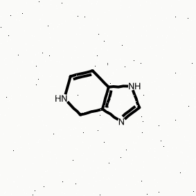 C1=Cc2[nH]cnc2CN1